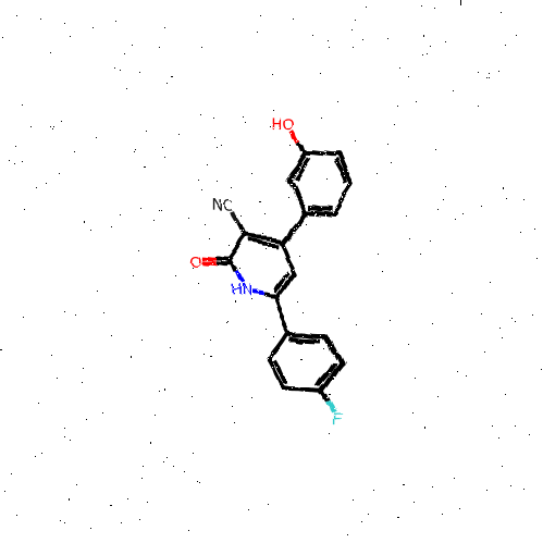 N#Cc1c(-c2cccc(O)c2)cc(-c2ccc(F)cc2)[nH]c1=O